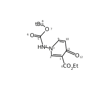 CCOC(=O)c1cn(NC(=O)OC(C)(C)C)ccc1=O